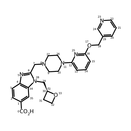 O=C(O)c1ccc2nc(CN3CCN(c4cccc(OCc5cccnc5)n4)CC3)n(C[C@@H]3CCO3)c2c1